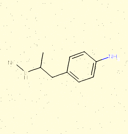 CC(BC#N)Cc1ccc(N)cc1